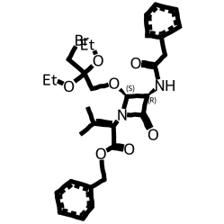 CCOC(CBr)(CO[C@H]1[C@@H](NC(=O)Cc2ccccc2)C(=O)N1C(C(=O)OCc1ccccc1)=C(C)C)OCC